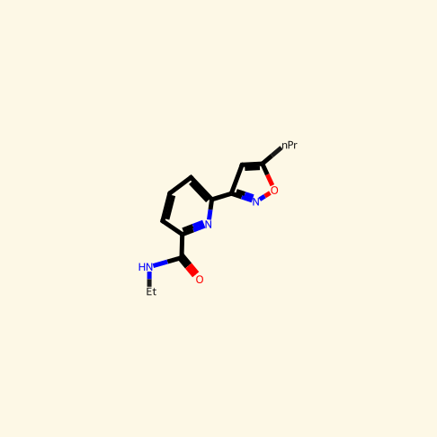 CCCc1cc(-c2cccc(C(=O)NCC)n2)no1